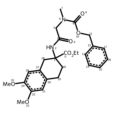 CCOC(=O)C1(NC(=O)CN(C)C(=O)OCc2ccccc2)CCc2cc(OC)c(OC)cc2C1